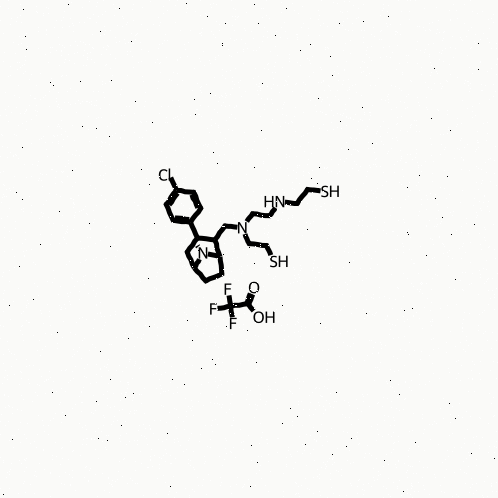 CN1C2CCC1C(CN(CCS)CCNCCS)C(c1ccc(Cl)cc1)C2.O=C(O)C(F)(F)F